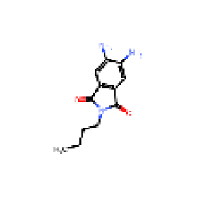 CCCCN1C(=O)c2cc(N)c(N)cc2C1=O